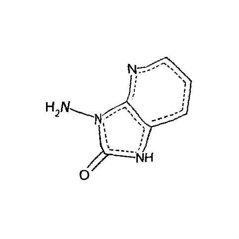 Nn1c(=O)[nH]c2cccnc21